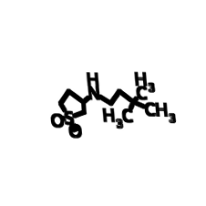 CC(C)(C)CCNC1CCS(=O)(=O)C1